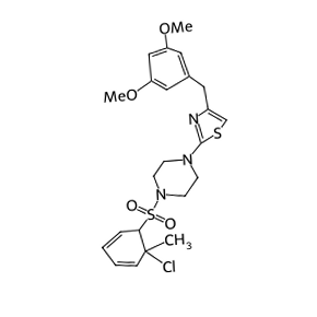 COc1cc(Cc2csc(N3CCN(S(=O)(=O)C4C=CC=CC4(C)Cl)CC3)n2)cc(OC)c1